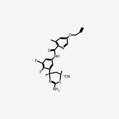 C#CCOc1cnc(C(=O)Nc2cc(F)c(F)c([C@]3(C)C[C@](C)(C#N)SC(N)=N3)c2)c(C)c1